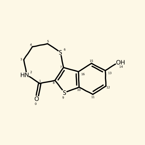 O=C1NCCCSc2c1sc1ccc(O)cc21